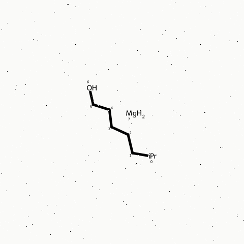 CC(C)CCCCCO.[MgH2]